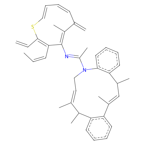 C=CC1=C(/C=C\C)C(/N=C(\C)N2C/C=C(\C)C(C)c3ccccc3/C(C)=C/C(C)c3ccccc32)=C(\C)C(=C)/C=C\C=C\S1